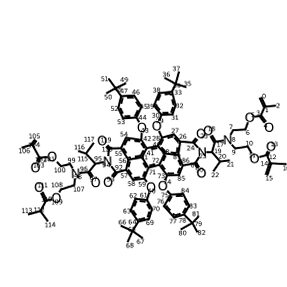 C=C(C)C(=O)OCCN(CCOC(=O)C(=C)C)C(=O)C(C(C)C)N1C(=O)c2cc(Oc3ccc(C(C)(C)C)cc3)c3c4c(Oc5ccc(C(C)(C)C)cc5)cc5c6c(cc(Oc7ccc(C(C)(C)C)cc7)c(c7c(Oc8ccc(C(C)(C)C)cc8)cc(c2c37)C1=O)c64)C(=O)N(C(C(=O)N(CCOC(=O)C(=C)C)CCOC(=O)C(C)C)C(C)C)C5=O